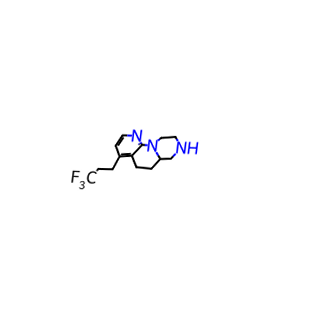 FC(F)(F)CCc1ccnc2c1CCC1CNCCN21